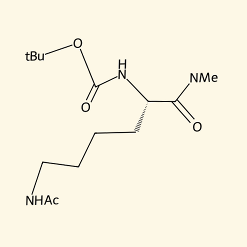 CNC(=O)[C@H](CCCCNC(C)=O)NC(=O)OC(C)(C)C